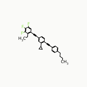 CCCCc1ccc(C#Cc2ccc(C#Cc3cc(F)c(F)c(F)c3CC)cc2C2CC2)cc1